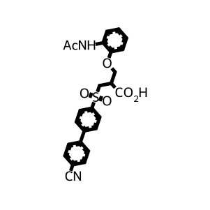 CC(=O)Nc1ccccc1OCC(CS(=O)(=O)c1ccc(-c2ccc(C#N)cc2)cc1)C(=O)O